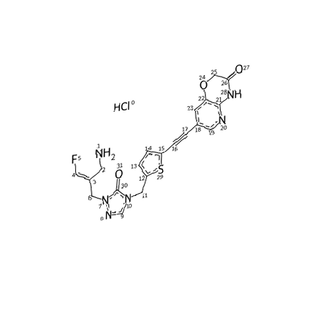 Cl.NC/C(=C\F)Cn1ncn(Cc2ccc(C#Cc3cnc4c(c3)OCC(=O)N4)s2)c1=O